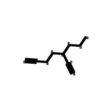 C#CCCC(C#C)CCC